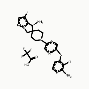 Nc1nccc(Sc2cnc(N3CCC4(CC3)Cn3ncc(F)c3[C@H]4N)cn2)c1Cl.O=C(O)C(F)(F)F